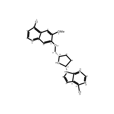 COc1cc2c(Cl)ccnc2cc1OC[C@@H]1CC[C@H](n2ccc3c(Cl)ncnc32)O1